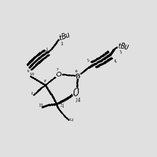 C#CC(C)(C)C.CC(C)(C)C#CB1OC(C)(C)C(C)(C)O1